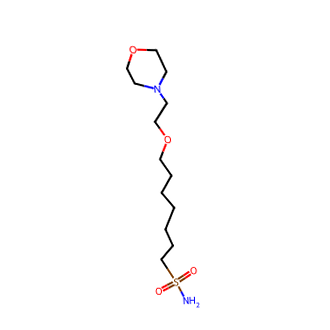 NS(=O)(=O)CCCCCCCOCCN1CCOCC1